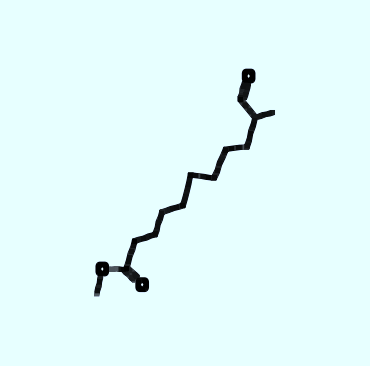 COC(=O)CCCCCCCCC(C)C=O